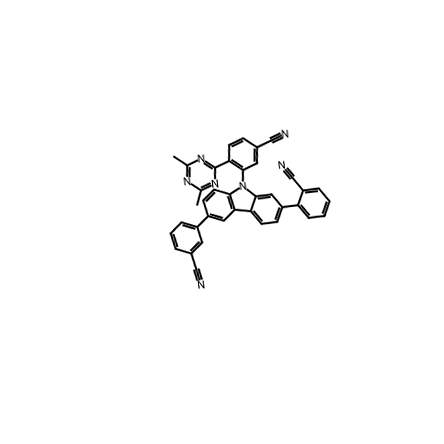 Cc1nc(C)nc(-c2ccc(C#N)cc2-n2c3ccc(-c4cccc(C#N)c4)cc3c3ccc(-c4ccccc4C#N)cc32)n1